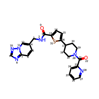 O=C(NCc1ccc2ncnn2c1)c1ccc(C2CCN(C(=O)c3ccccn3)CC2)s1